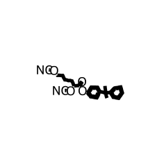 CC(C)(c1ccccc1)c1ccc(OC(=O)C(CCCCOC#N)OC#N)cc1